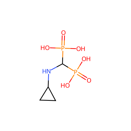 O=P(O)(O)C(NC1CC1)P(=O)(O)O